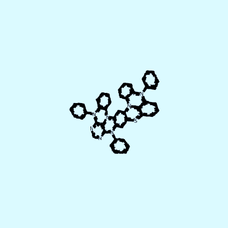 c1ccc(-n2c3ccccc3n3c4cc5c(cc4sc4cccc2c43)n(-c2ccccc2)c2ncnc3c2n5c2ccccc2n3-c2ccccc2)cc1